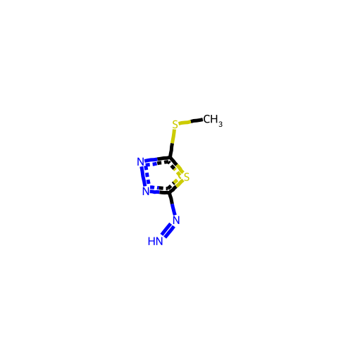 CSc1nnc(N=N)s1